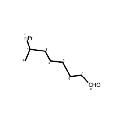 CCCC(C)CCCCCC=O